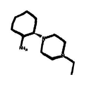 CCN1CCN([C@H]2CCCCC2N)CC1